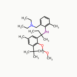 CCN(CC)Cc1cccc(C)c1PC(C)(CC)c1cc(C)cc(C(C)(C)C)c1OCOC